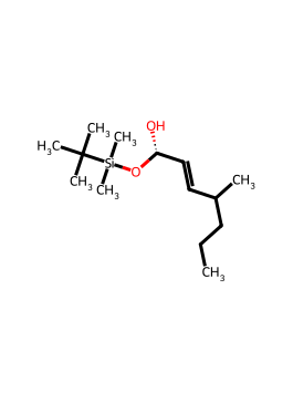 CCCC(C)C=C[C@@H](O)O[Si](C)(C)C(C)(C)C